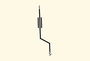 [S]CCC#CI